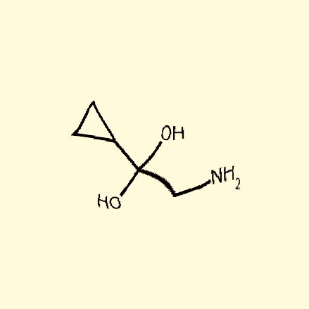 NCC(O)(O)C1CC1